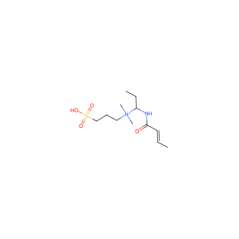 CC=CC(=O)NC(CC)[N+](C)(C)CCCS(=O)(=O)O